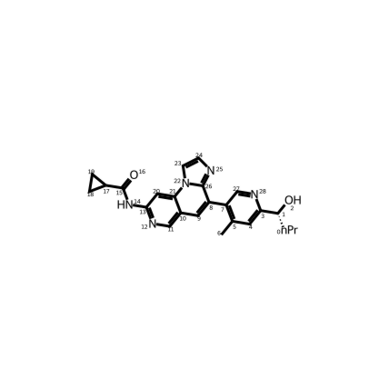 CCC[C@@H](O)c1cc(C)c(-c2cc3cnc(NC(=O)C4CC4)cc3n3ccnc23)cn1